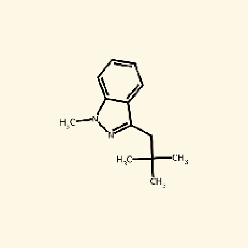 Cn1nc(CC(C)(C)C)c2ccccc21